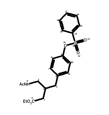 CCOC(=O)CC(CNC(C)=O)Cc1ccc(OS(=O)(=O)c2ccccc2)cc1